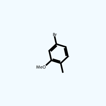 COc1cc(Br)c[c]c1C